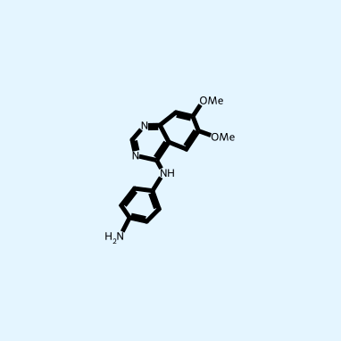 COc1cc2ncnc(Nc3ccc(N)cc3)c2cc1OC